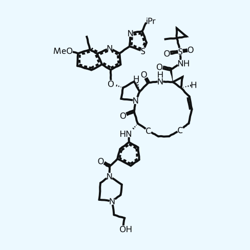 COc1ccc2c(O[C@@H]3C[C@H]4C(=O)N[C@]5(C(=O)NS(=O)(=O)C6(C)CC6)C[C@H]5/C=C\CCCCC[C@H](Nc5cccc(C(=O)N6CCN(CCO)CC6)c5)C(=O)N4C3)cc(-c3nc(C(C)C)cs3)nc2c1C